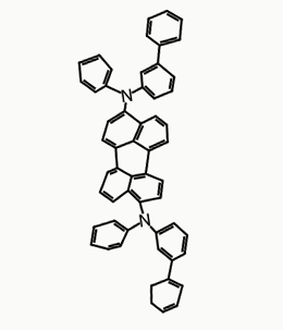 C1=CCCC(c2cccc(N(c3ccccc3)c3ccc4c5cccc6c(N(c7ccccc7)c7cccc(-c8ccccc8)c7)ccc(c7cccc3c47)c65)c2)=C1